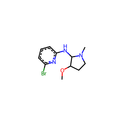 COC1CCN(C)C1Nc1cccc(Br)n1